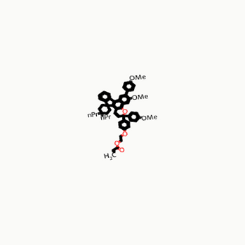 C=CC(=O)OCCOc1ccc(C2(c3ccc(OC)cc3)C=Cc3c4c(c5cc(-c6ccc(OC)cc6)c(OC)cc5c3O2)-c2ccc#cc2C42CCC(CCC)(CCC)CC2)cc1